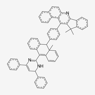 CC1(C)c2ccccc2-c2nc3ccc4ccccc4c3c(-c3ccc(C4c5ccccc5C(C5=NC(c6ccccc6)=CC(c6ccccc6)N5)=C5C=CC=CC54C)cc3)c21